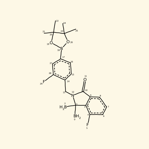 BC1(B)c2c(F)cccc2C(=O)N1Cc1ccc(B2OC(C)(C)C(C)(C)O2)cc1F